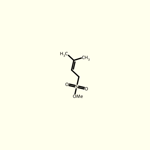 COS(=O)(=O)CC=C(C)C